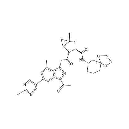 CC(=O)c1nn(CC(=O)N2C3C[C@]3(C)C[C@H]2C(=O)NC2CCCC3(C2)OCCO3)c2c(C)cc(-c3cnc(C)nc3)cc12